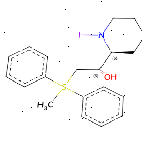 CS(C[C@@H](O)[C@@H]1CCCCN1I)(c1ccccc1)c1ccccc1